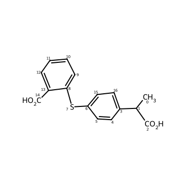 CC(C(=O)O)c1ccc(Sc2ccccc2C(=O)O)cc1